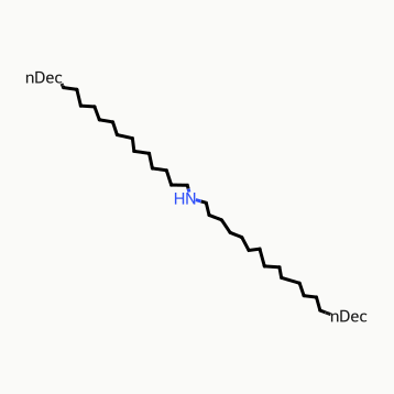 CCCCCCCCCCCCCCCCCCCCCCCCNCCCCCCCCCCCCCCCCCCCCCCCC